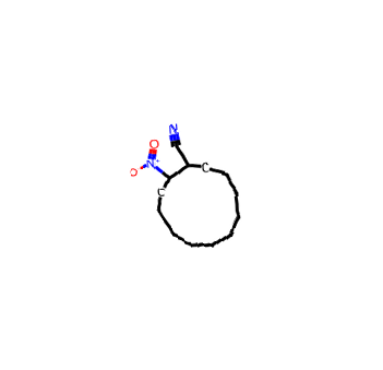 N#CC1CCCCCCCCCCC1[N+](=O)[O-]